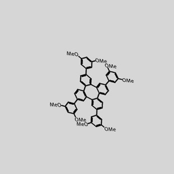 COc1cc(OC)cc(-c2ccc3c(c2)-c2cc(-c4cc(OC)cc(OC)c4)ccc2-c2ccc(-c4cc(OC)cc(OC)c4)cc2-c2cc(-c4cc(OC)cc(OC)c4)ccc2-3)c1